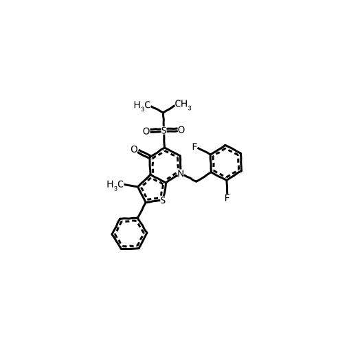 Cc1c(-c2ccccc2)sc2c1c(=O)c(S(=O)(=O)C(C)C)cn2Cc1c(F)cccc1F